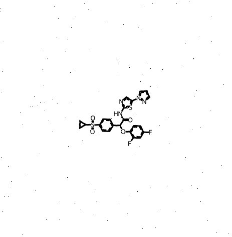 O=C(Nc1ncc(-n2cccn2)s1)C(Oc1ccc(F)cc1F)c1ccc(S(=O)(=O)C2CC2)cc1